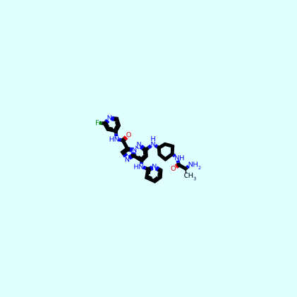 C[C@@H](N)C(=O)NC1CCC(Nc2cc(Nc3ccccn3)c3ncc(C(=O)Nc4ccnc(F)c4)n3n2)CC1